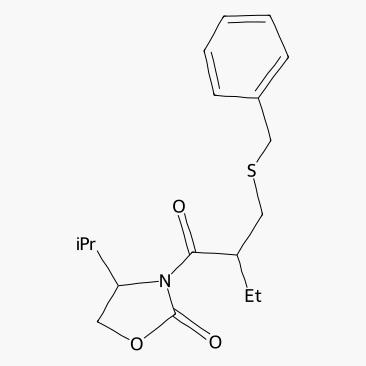 CCC(CSCc1ccccc1)C(=O)N1C(=O)OCC1C(C)C